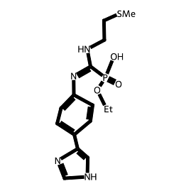 CCOP(=O)(O)C(=Nc1ccc(-c2c[nH]cn2)cc1)NCCSC